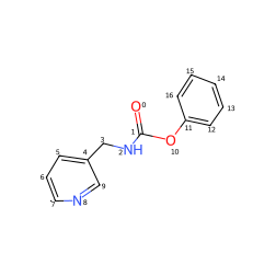 O=C(NCc1cc[c]nc1)Oc1ccccc1